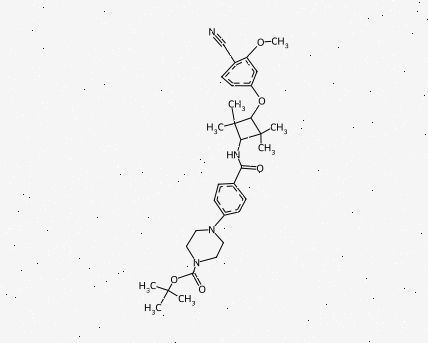 COc1cc(OC2C(C)(C)C(NC(=O)c3ccc(N4CCN(C(=O)OC(C)(C)C)CC4)cc3)C2(C)C)ccc1C#N